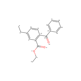 CCOC(=O)c1cc(CC)ccc1C(=O)c1ccccc1